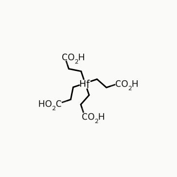 O=C(O)C[CH2][Hf]([CH2]CC(=O)O)([CH2]CC(=O)O)[CH2]CC(=O)O